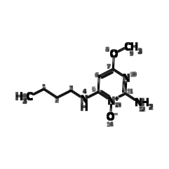 CCCCNc1cc(OC)nc(N)[n+]1[O-]